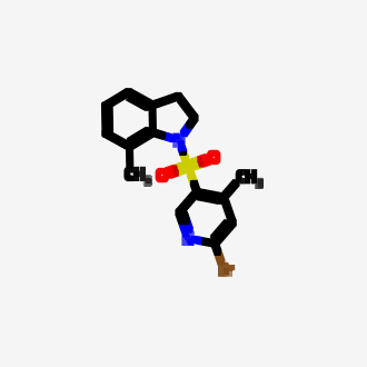 Cc1cc(Br)ncc1S(=O)(=O)N1CCc2cccc(C)c21